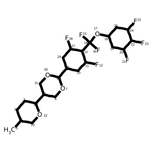 CC1CCC(C2COC(C3CC(F)C(C(F)(F)OC4CC(F)C(F)C(F)C4)C(F)C3)OC2)OC1